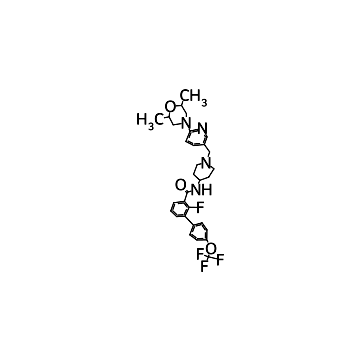 CC1CN(c2ccc(CN3CCC(NC(=O)c4cccc(-c5ccc(OC(F)(F)F)cc5)c4F)CC3)cn2)CC(C)O1